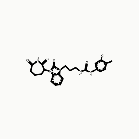 Cc1ccc(NC(=O)NCCCn2c(=O)n(C3CCCC(=O)NC3=O)c3ccccc32)cc1Cl